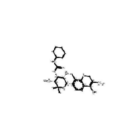 CO[C@@H]1[C@H](OC(=O)NC2CCCCC2)[C@H](O)[C@H](c2ccc3c(c2C)OCC(C(=O)O)=C3O)OC1(C)C